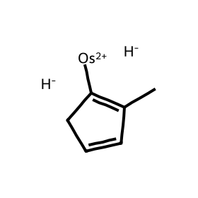 CC1=[C]([Os+2])CC=C1.[H-].[H-]